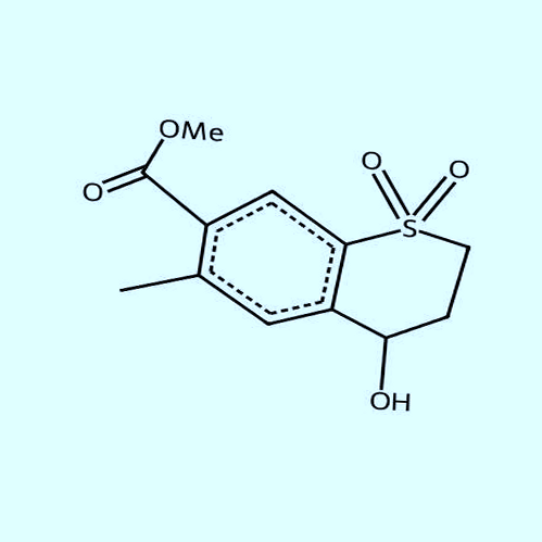 COC(=O)c1cc2c(cc1C)C(O)CCS2(=O)=O